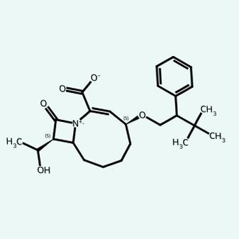 CC(O)[C@H]1C(=O)[N+]2C(C(=O)[O-])=C[C@@H](OCC(c3ccccc3)C(C)(C)C)CCCCC12